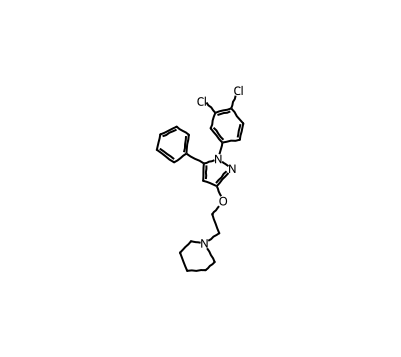 Clc1ccc(-n2nc(OCCN3CCCCC3)cc2-c2ccccc2)cc1Cl